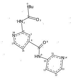 CC(C)(C)C(=O)Nc1cc(C(=O)Nc2cccnc2)ccn1